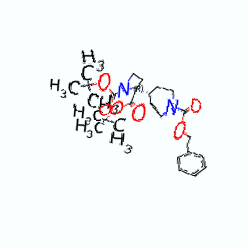 CC(C)(C)OC(=O)N1CC[C@]1(C(=O)OC(C)(C)C)C1CCN(C(=O)OCc2ccccc2)CC1